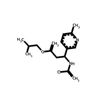 C=C(Cl)NC(CC(=C)OCC(C)C)c1ccc(C)nc1